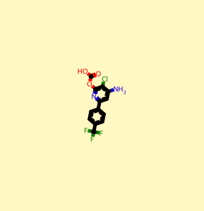 Nc1cc(-c2ccc(C(F)(F)F)cc2)nc(OC(=O)O)c1Cl